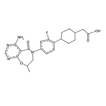 CC1CN(c2ccc(C3CCC(CC(=O)O)CC3)c(F)c2)C(=O)c2c(N)ncnc2O1